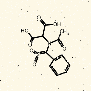 CC(=O)N(C(c1ccccc1)=S(=O)=O)C(C(=O)O)C(=O)O